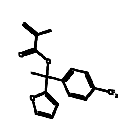 C=C(C)C(=O)OC(C)(c1ccc(C(F)(F)F)cc1)c1ccco1